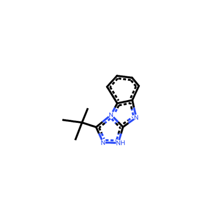 CC(C)(C)c1n[nH]c2nc3ccccc3n12